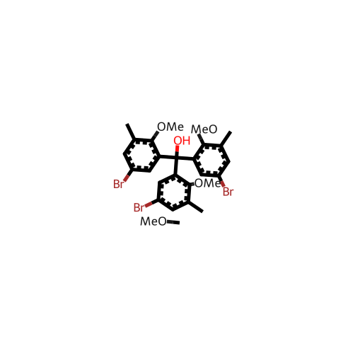 COC.COc1c(C)cc(Br)cc1C(O)(c1cc(Br)cc(C)c1OC)c1cc(Br)cc(C)c1OC